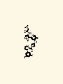 CN(C)CC(=O)Nc1cnn(C)c1-c1cc(OC2CN(C(=O)N3N=CC[C@H]3c3cc(F)cc(F)c3)C2)c(F)cn1